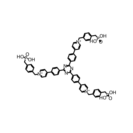 O=P(O)(O)Cc1ccc(C[n+]2ccc(-c3ccc(-c4nc(-c5ccc(-c6cc[n+](Cc7ccc(CP(=O)(O)O)cc7)cc6)cc5)nc(-c5ccc(-c6cc[n+](Cc7ccc(CP(=O)(O)O)cc7)cc6)cc5)n4)cc3)cc2)cc1